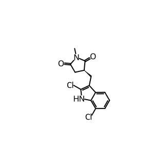 CN1C(=O)C[C@H](Cc2c(Cl)[nH]c3c(Cl)cccc23)C1=O